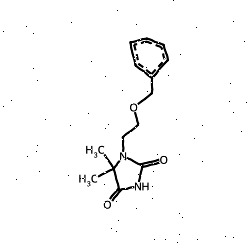 CC1(C)C(=O)NC(=O)N1CCOCc1ccccc1